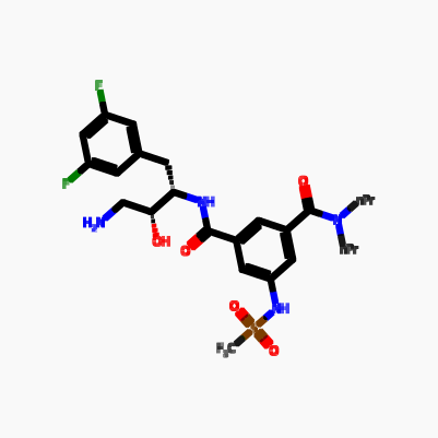 CCCN(CCC)C(=O)c1cc(NS(=O)(=O)C(F)(F)F)cc(C(=O)N[C@@H](Cc2cc(F)cc(F)c2)[C@H](O)CN)c1